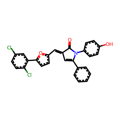 O=C1/C(=C/c2ccc(-c3cc(Cl)ccc3Cl)o2)C=C(c2ccccc2)N1c1ccc(O)cc1